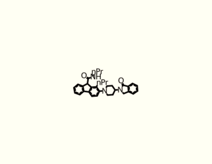 CCCNC(=O)C1c2ccccc2-c2ccc(N3CCC(N4Cc5ccccc5C4=O)CC3)c(CCC)c21